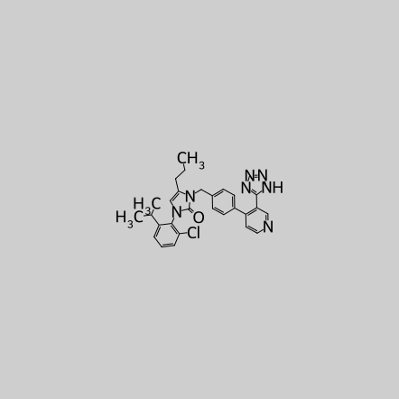 CCCc1cn(-c2c(Cl)cccc2C(C)C)c(=O)n1Cc1ccc(-c2ccncc2-c2nnn[nH]2)cc1